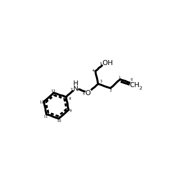 C=CCC(CO)ONc1ccccc1